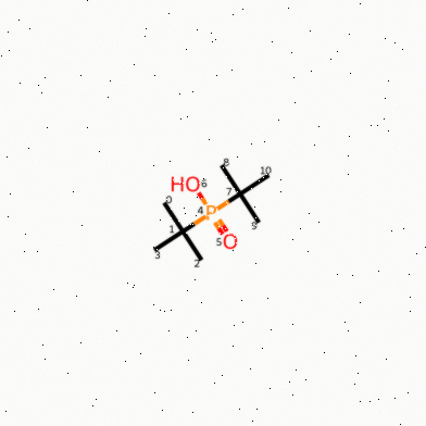 CC(C)(C)P(=O)(O)C(C)(C)C